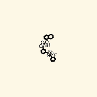 O=C(NC(=O)c1cccc(-c2noc(-c3ccccc3F)n2)c1)Oc1cccc2c1CCCC2